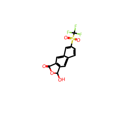 O=C1OC(O)c2cc3ccc(S(=O)(=O)C(F)(F)F)cc3cc21